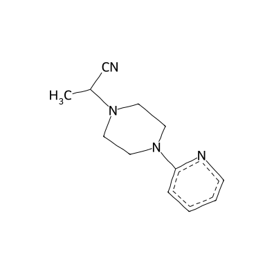 CC(C#N)N1CCN(c2ccccn2)CC1